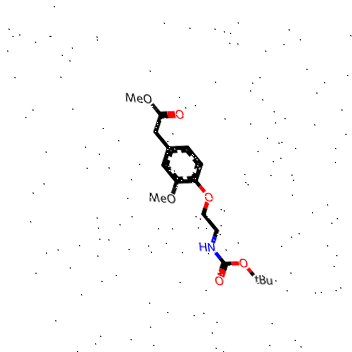 COC(=O)Cc1ccc(OCCNC(=O)OC(C)(C)C)c(OC)c1